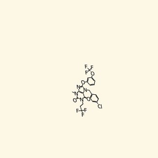 Cn1c(=O)n(CCC(F)(F)F)c(=O)c2c1nc(Oc1cccc(OC(F)(F)F)c1)n2Cc1ccc(Cl)cc1